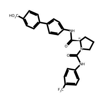 O=C(O)c1ccc(-c2ccc(NC(=O)[C@H]3CCCN3C(=O)Nc3ccc(C(F)(F)F)cc3)cc2)cc1